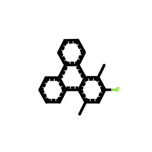 Cc1cc(F)c(C)c2c3ccccc3c3ccccc3c12